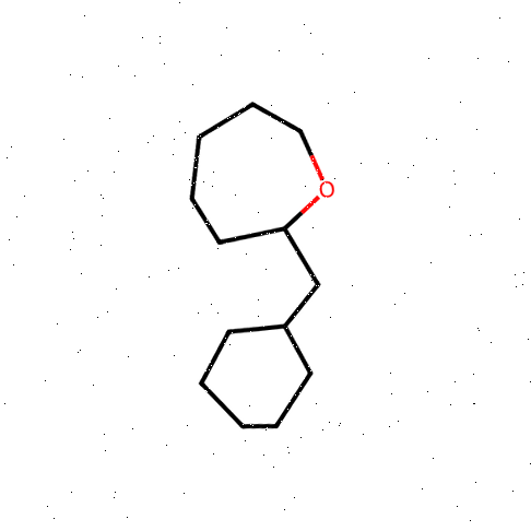 C1CCC(CC2CCCCCO2)CC1